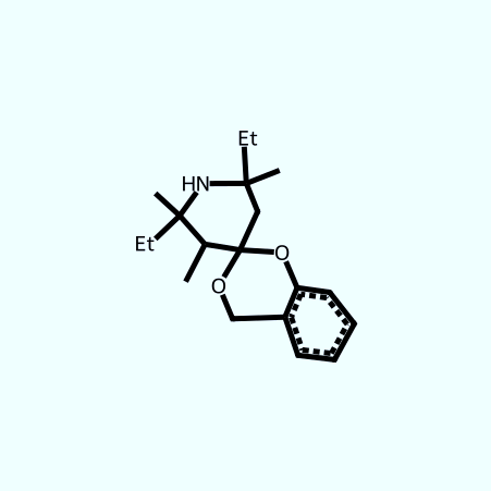 CCC1(C)CC2(OCc3ccccc3O2)C(C)C(C)(CC)N1